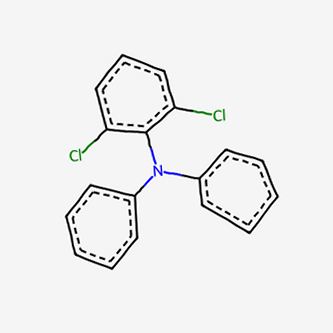 Clc1cccc(Cl)c1N(c1ccccc1)c1ccccc1